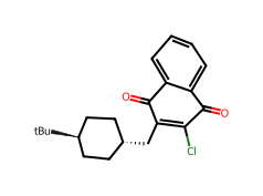 CC(C)(C)[C@H]1CC[C@H](CC2=C(Cl)C(=O)c3ccccc3C2=O)CC1